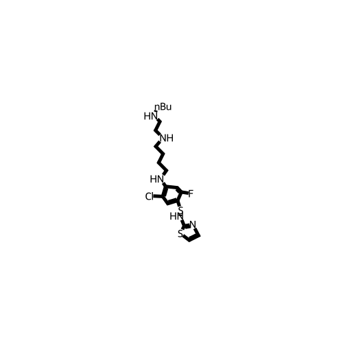 CCCCNCCNCCCCNc1cc(F)c(SNc2nccs2)cc1Cl